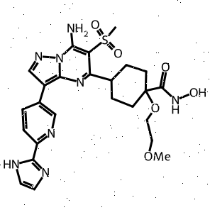 COCCOC1(C(=O)NO)CCC(c2nc3c(-c4ccc(-c5ncc[nH]5)nc4)cnn3c(N)c2S(C)(=O)=O)CC1